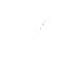 O=C(/C=C/C=C/c1ccc2c(c1)OCO2)NC1CCCC1